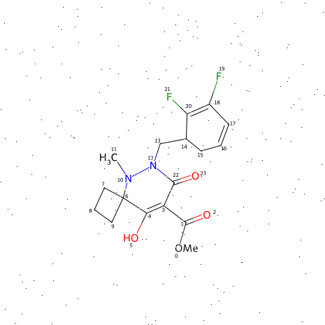 COC(=O)C1=C(O)C2(CCC2)N(C)N(CC2CC=CC(F)=C2F)C1=O